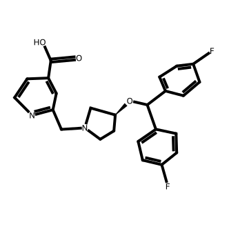 O=C(O)c1ccnc(CN2CC[C@H](OC(c3ccc(F)cc3)c3ccc(F)cc3)C2)c1